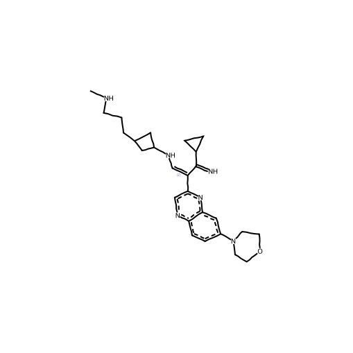 CNCCCC1CC(N/C=C(\C(=N)C2CC2)c2cnc3ccc(N4CCOCC4)cc3n2)C1